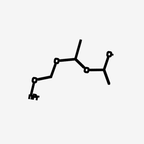 CCCOCOC(C)OC(C)[O]